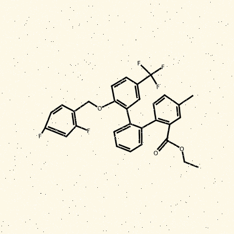 CCOC(=O)c1cc(C)ccc1-c1ccccc1-c1cc(C(F)(F)F)ccc1OCc1ccc(F)cc1F